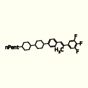 CCCCCC1CCC(C2CCC(c3ccc(/C=C(\C)c4cc(F)c(F)c(F)c4)cc3)CC2)CC1